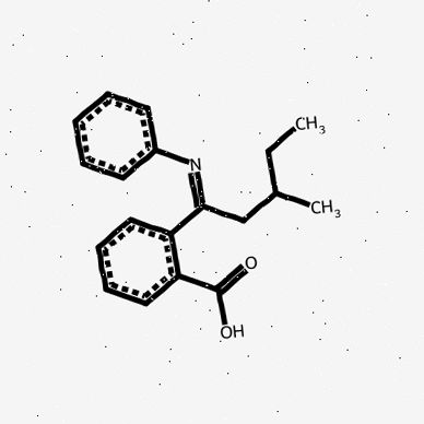 CCC(C)CC(=Nc1ccccc1)c1ccccc1C(=O)O